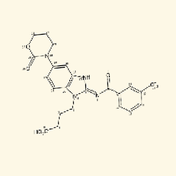 O=C(O)CCCn1/c(=N/C(=O)c2cccc(C(F)(F)F)c2)[nH]c2cc(N3CCCOC3=O)ccc21